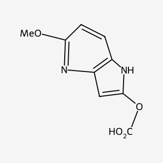 COc1ccc2[nH]c(OC(=O)O)cc2n1